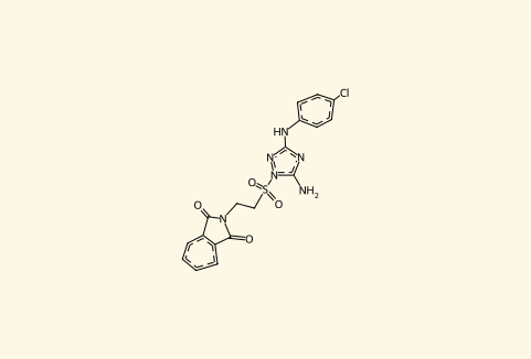 Nc1nc(Nc2ccc(Cl)cc2)nn1S(=O)(=O)CCN1C(=O)c2ccccc2C1=O